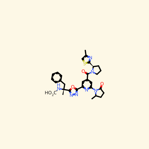 Cc1csc([C@H]2CCCN2C(=O)c2cc(-c3nnc([C@@](C)(Cc4ccccc4)NC(=O)O)o3)nc(N3C(=O)CCC3C)c2)n1